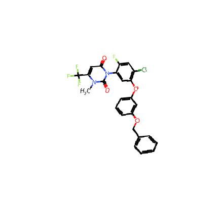 Cn1c(C(F)(F)F)cc(=O)n(-c2cc(Oc3cccc(OCc4ccccc4)c3)c(Cl)cc2F)c1=O